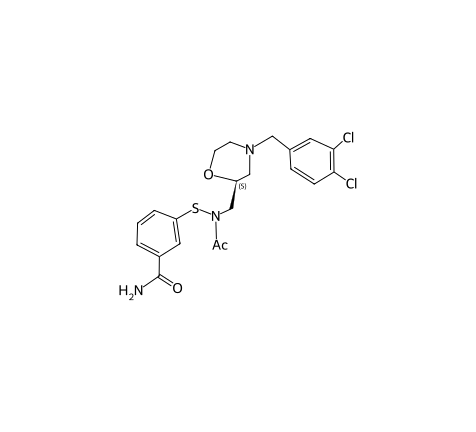 CC(=O)N(C[C@@H]1CN(Cc2ccc(Cl)c(Cl)c2)CCO1)Sc1cccc(C(N)=O)c1